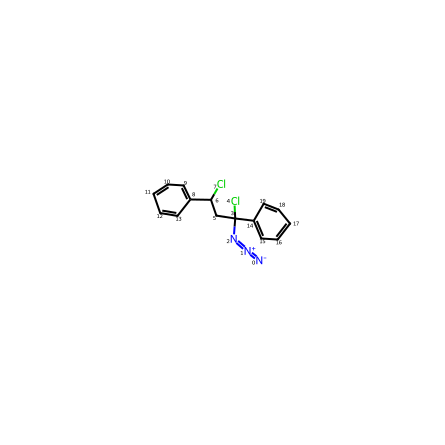 [N-]=[N+]=NC(Cl)(CC(Cl)c1ccccc1)c1ccccc1